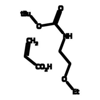 C=CC(=O)O.CCOCCNC(=O)OC(C)(C)C